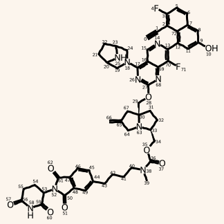 C#Cc1c(F)ccc2cc(O)cc(-c3ncc4c(N5CC6CCC(C5)N6)nc(OC[C@@]56CC[C@@H](COC(=O)N(C)CCCCc7ccc8c(c7)C(=O)N(C7CCC(=O)NC7=O)C8=O)N5CC(=C)C6)nc4c3F)c12